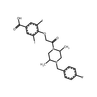 CC1CN(C(=O)COc2c(I)cc(C(=O)O)cc2I)C(C)CN1Cc1ccc(F)cc1